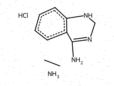 CC.Cl.N.NC1=NCNc2ccccc21